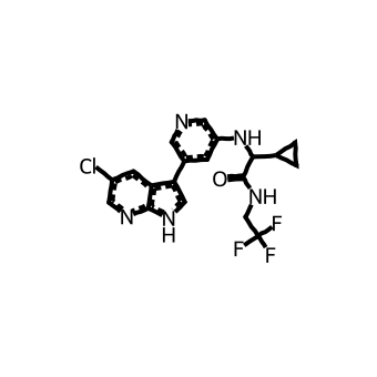 O=C(NCC(F)(F)F)C(Nc1cncc(-c2c[nH]c3ncc(Cl)cc23)c1)C1CC1